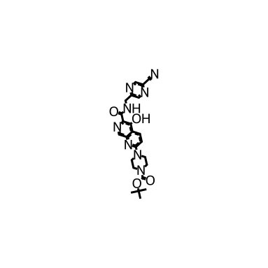 CC(C)(C)OC(=O)N1CCN(c2ccc3c(O)c(C(=O)NCc4cnc(C#N)cn4)ncc3n2)CC1